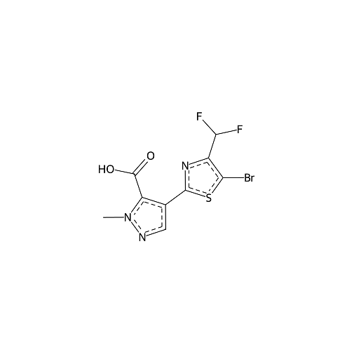 Cn1ncc(-c2nc(C(F)F)c(Br)s2)c1C(=O)O